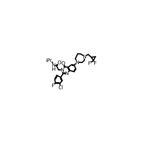 CC(C)NC(=O)Cn1c(-c2ccc(F)c(Cl)c2)nc2ccc(N3CCCN(CC4CC4(F)F)CC3)cc2c1=O